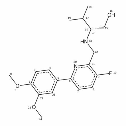 COc1ccc(-c2ccc(F)c(CN[C@@H](CO)C(C)C)n2)cc1OC